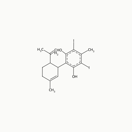 C=C(C)C1CCC(C)=CC1c1c(O)c(I)c(C)c(I)c1O